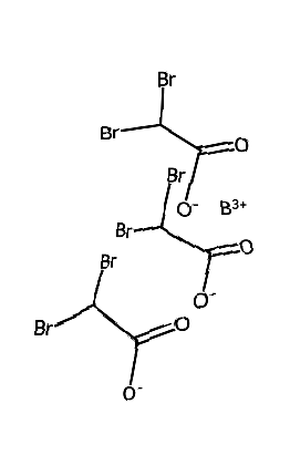 O=C([O-])C(Br)Br.O=C([O-])C(Br)Br.O=C([O-])C(Br)Br.[B+3]